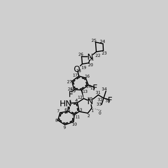 C[C@@H]1Cc2c([nH]c3ccccc23)[C@@H](c2c(F)cc(OC3CN(C4CCC4)C3)cc2F)N1CC(C)(C)F